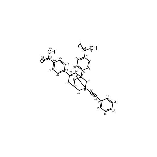 O=C(O)c1ccc(C23CC4CC(C#Cc5ccccc5)(C2)CC(c2ccc(C(=O)O)cc2)(C4)C3)cc1